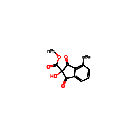 CCCCc1cccc2c1C(=O)C(O)(C(=O)OCCC)C2=O